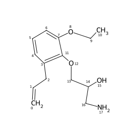 C=CCc1cccc(OCC)c1OCC(O)CN